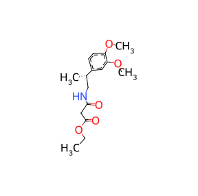 CCOC(=O)CC(=O)NC[C@H](C)c1ccc(OC)c(OC)c1